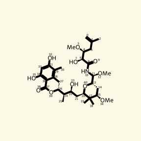 C=C(C)C[C@H](OC)[C@H](O)C(=O)N[C@@H](OC)[C@@H]1C[C@@H](OC)C(C)(C)[C@@H](C[C@H](O)[C@@H](C)[C@H]2Cc3c(C)c(O)cc(O)c3C(=O)O2)O1